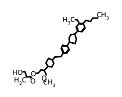 C=C(CO)C(=O)OCCC(COC)C1CCC(CCc2ccc(C3CCC(c4ccc(CCCCC)c(CC)c4)CC3)cc2)CC1